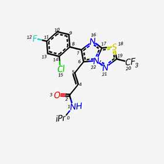 CC(C)NC(=O)/C=C/c1c(-c2ccc(F)cc2Cl)nc2sc(C(F)(F)F)nn12